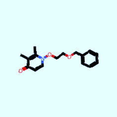 Cc1c(C)n(OCCOCc2ccccc2)ccc1=O